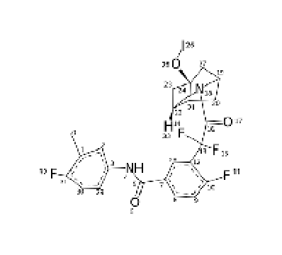 Cc1cc(NC(=O)c2ccc(F)c(C(F)(F)C(=O)N3C4CC5[C@@H]3C[C@]5(OI)C4)c2)ccc1F